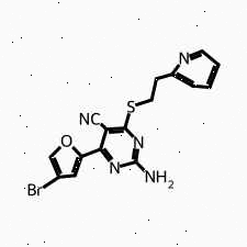 N#Cc1c(SCCc2ccccn2)nc(N)nc1-c1cc(Br)co1